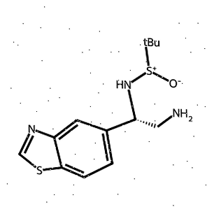 CC(C)(C)[S+]([O-])N[C@H](CN)c1ccc2scnc2c1